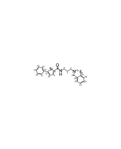 CN(CCCNC(=O)c1ccc(-c2ccccc2)s1)Cc1ccccc1F